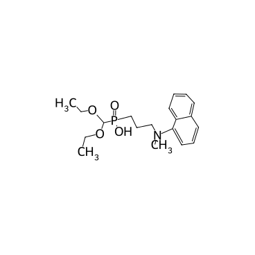 CCOC(OCC)P(=O)(O)CCCN(C)c1cccc2ccccc12